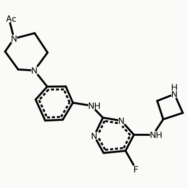 CC(=O)N1CCN(c2cccc(Nc3ncc(F)c(NC4CNC4)n3)c2)CC1